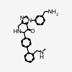 CNCc1ccccc1-c1ccc(C2NCc3ncn(-c4cccc(CN)c4)c3C2=O)cc1